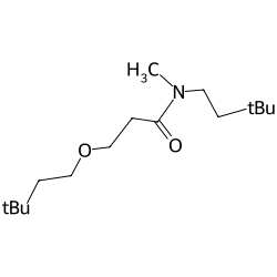 CN(CCC(C)(C)C)C(=O)CCOCCC(C)(C)C